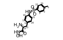 Cc1ccc(S(=O)(=O)Nc2ccc(C[C@H](N)C(=O)NO)cc2)cc1